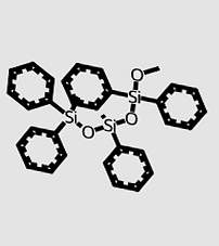 CO[Si](O[Si](C)(O[Si](C)(c1ccccc1)c1ccccc1)c1ccccc1)(c1ccccc1)c1ccccc1